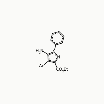 CCOC(=O)c1nn(-c2ccccc2)c(N)c1C(C)=O